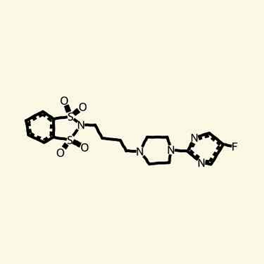 O=S1(=O)c2ccccc2S(=O)(=O)N1CCCCN1CCN(c2ncc(F)cn2)CC1